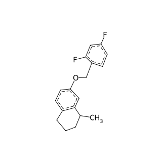 CC1CCCc2ccc(OCc3ccc(F)cc3F)cc21